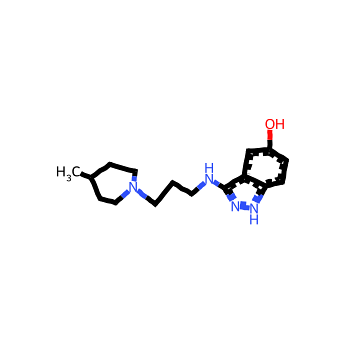 CC1CCN(CCCNc2n[nH]c3ccc(O)cc23)CC1